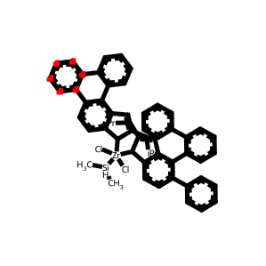 CC(C)CC1=Cc2c(ccc(-c3ccccc3)c2-c2ccccc2-c2ccccc2)[CH]1[Zr]([Cl])([Cl])([CH]1C(CC(C)C)=Cc2c1ccc(-c1ccccc1)c2-c1ccccc1-c1ccccc1)[SiH](C)C